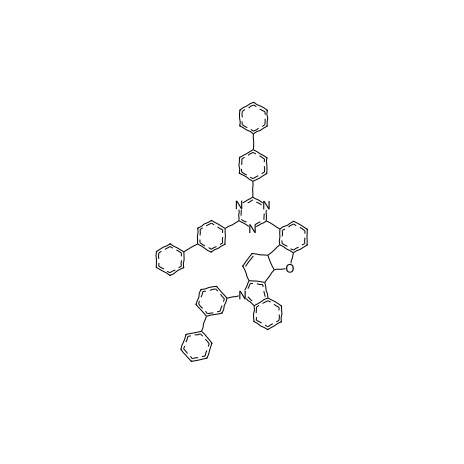 C1=CC2c3c(cccc3-c3nc(-c4ccc(-c5ccccc5)cc4)nc(-c4ccc(-c5ccccc5)cc4)n3)OC2c2c1n(-c1cccc(-c3ccccc3)c1)c1ccccc21